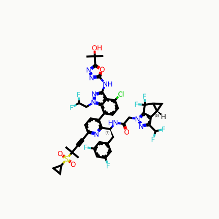 CC(C)(O)c1nnc(Nc2nn(CC(F)F)c3c(-c4ccc(C#CC(C)(C)S(=O)(=O)C5CC5)nc4[C@H](Cc4cc(F)cc(F)c4)NC(=O)Cn4nc(C(F)F)c5c4C(F)(F)C4C[C@H]54)ccc(Cl)c23)o1